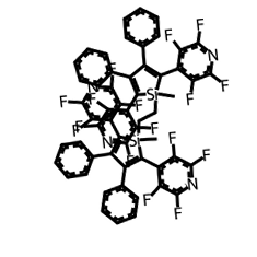 C[Si]1(CC[Si]2(C)C(c3c(F)c(F)nc(F)c3F)=C(c3ccccc3)C(c3ccccc3)=C2c2c(F)c(F)nc(F)c2F)C(c2c(F)c(F)nc(F)c2F)=C(c2ccccc2)C(c2ccccc2)=C1c1c(F)c(F)nc(F)c1F